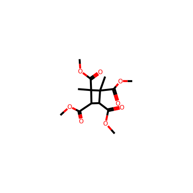 COC(=O)C1C(C(=O)OC)C(C)(C(=O)OC)C1(C)C(=O)OC